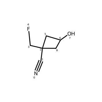 N#CC1(CF)CC(O)C1